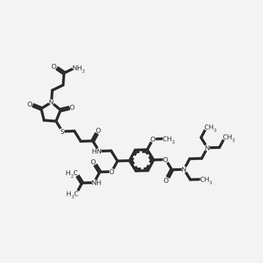 C=C(C)NC(=O)OC(CNC(=O)CCSC1CC(=O)N(CCC(N)=O)C1=O)c1ccc(OC(=O)N(CC)CCN(CC)CC)c(OC)c1